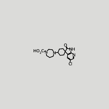 O=C(O)N1CCCN(C2CCC3(CC2)C(=O)Nc2ncc(Cl)cc23)CC1